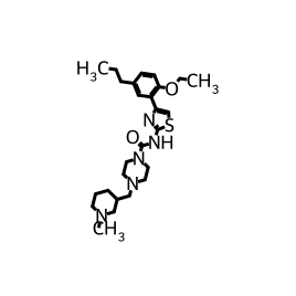 CCCc1ccc(OCC)c(-c2csc(NC(=O)N3CCN(CC4CCCN(C)C4)CC3)n2)c1